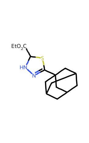 CCOC(=O)C1NN=C(C23CC4CC(CC(C4)C2)C3)S1